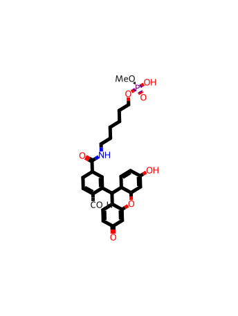 CO[P@](=O)(O)OCCCCCCNC(=O)C1C=C(C2C3C=CC(=O)C=C3OC3C=C(O)C=CC32)C(C(=O)O)=CC1